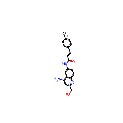 Nc1cc(CO)nc2ccc(NC(=O)/C=C/c3ccc(C(F)(F)F)cc3)cc12